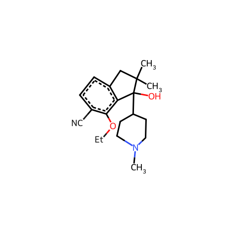 CCOc1c(C#N)ccc2c1C(O)(C1CCN(C)CC1)C(C)(C)C2